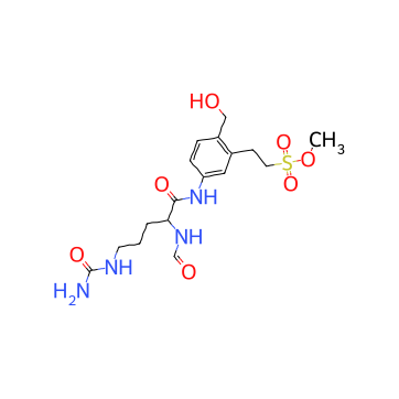 COS(=O)(=O)CCc1cc(NC(=O)C(CCCNC(N)=O)NC=O)ccc1CO